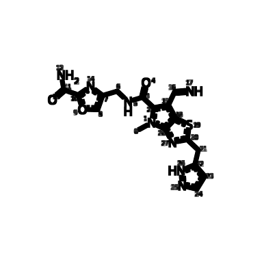 Cn1c(C(=O)NCc2coc(C(N)=O)n2)c(C=N)c2sc(Cc3ccn[nH]3)nc21